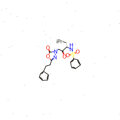 CC(C)C[C@H](NS(=O)(=O)c1ccccc1)C(=O)Cn1nc(CCc2ccccc2)oc1=O